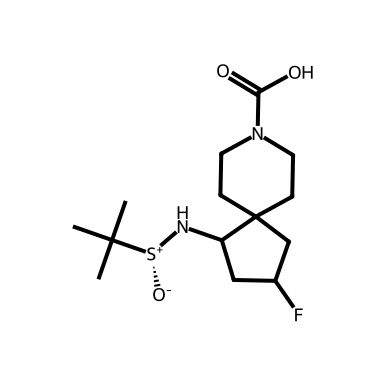 CC(C)(C)[S@@+]([O-])NC1CC(F)CC12CCN(C(=O)O)CC2